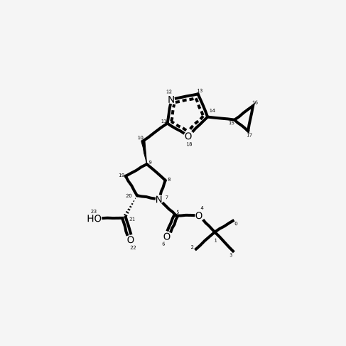 CC(C)(C)OC(=O)N1C[C@H](Cc2ncc(C3CC3)o2)C[C@H]1C(=O)O